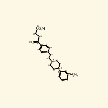 Cc1cccc(N2CCN(CCc3ccc(C(=O)CCC(=O)O)cc3)CC2)c1